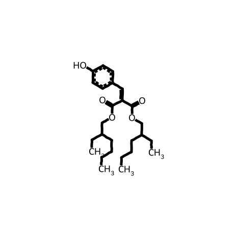 CCCCC(CC)COC(=O)C(=Cc1ccc(O)cc1)C(=O)OCC(CC)CCCC